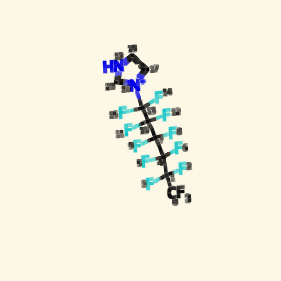 FC(F)(F)C(F)(F)C(F)(F)C(F)(F)C(F)(F)C(F)(F)[n+]1cc[nH]c1